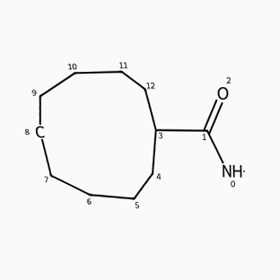 [NH]C(=O)C1CCCCCCCCC1